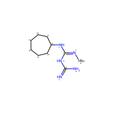 CCCCN=C(NC(=N)N)NC1CCCCCC1